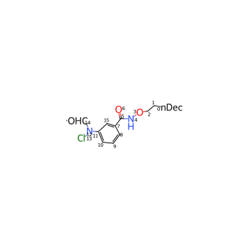 CCCCCCCCCCCCONC(=O)c1cccc(N(Cl)[C]=O)c1